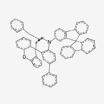 c1ccc(-c2ccc3c(c2)C2(c4ccccc4Oc4ccccc42)c2cc(-c4ccccc4)ccc2N3c2ccc3c(c2)C2(c4ccccc4-c4ccccc42)c2ccccc2-3)cc1